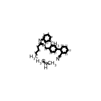 CCCCc1nc2cccc(C)c2n1Cc1ccc(-c2ccccc2C#N)cc1.CNC